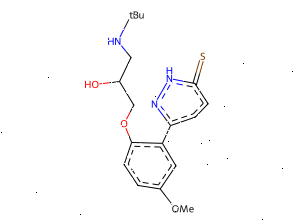 COc1ccc(OCC(O)CNC(C)(C)C)c(-c2ccc(=S)[nH]n2)c1